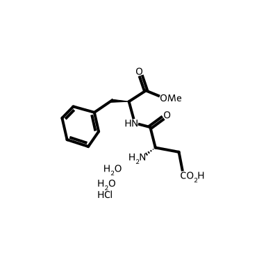 COC(=O)[C@H](Cc1ccccc1)NC(=O)[C@@H](N)CC(=O)O.Cl.O.O